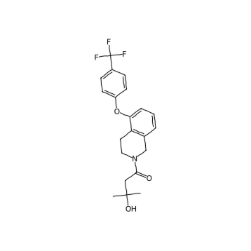 CC(C)(O)CC(=O)N1CCc2c(cccc2Oc2ccc(C(F)(F)F)cc2)C1